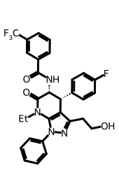 CCN1C(=O)[C@H](NC(=O)c2cccc(C(F)(F)F)c2)[C@H](c2ccc(F)cc2)c2c(CCO)nn(-c3ccccc3)c21